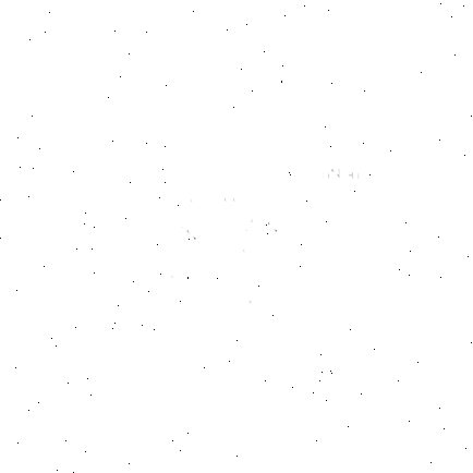 CCCCCCCCCCCNC(=O)c1cccc2ccn(C)c12